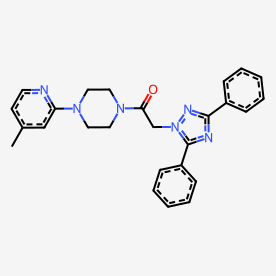 Cc1ccnc(N2CCN(C(=O)Cn3nc(-c4ccccc4)nc3-c3ccccc3)CC2)c1